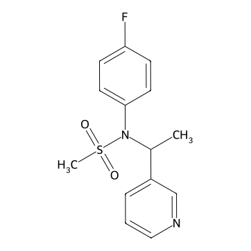 CC(c1cccnc1)N(c1ccc(F)cc1)S(C)(=O)=O